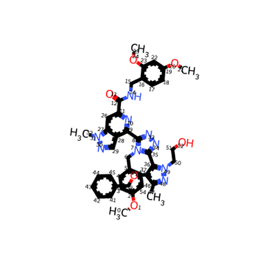 COc1ccc(Cn2c(-c3nc(C(=O)NCc4ccc(OC)cc4OC)cc4c3cnn4C)nnc2-c2c(OCc3ccccc3)c(C)nn2CCO)cc1